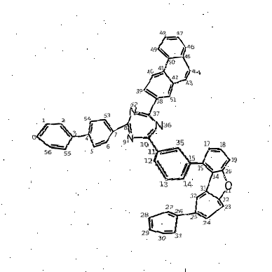 c1ccc(-c2ccc(-c3nc(-c4cccc(-c5cccc6oc7ccc(-c8ccccc8)cc7c56)c4)nc(-c4ccc5c(ccc6ccccc65)c4)n3)cc2)cc1